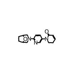 O=C1C=CCCN1c1ccc(N2CC3CCC(C2)O3)nc1